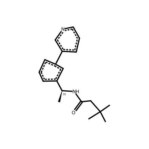 C[C@H](NC(=O)CC(C)(C)C)c1cccc(-c2cccnc2)c1